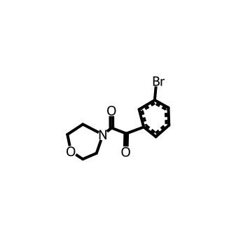 O=C(C(=O)N1CCOCC1)c1cccc(Br)c1